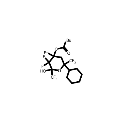 CCC(C)C(=O)OC1(CC)CC(C2CCCCC2)(C(F)(F)F)OC(O)(C(F)(F)F)C1(F)F